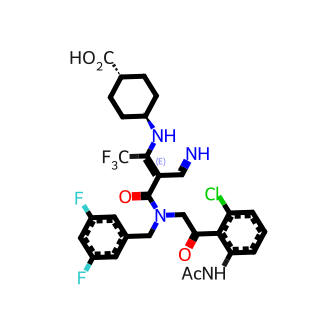 CC(=O)Nc1cccc(Cl)c1C(=O)CN(Cc1cc(F)cc(F)c1)C(=O)/C(C=N)=C(/N[C@H]1CC[C@H](C(=O)O)CC1)C(F)(F)F